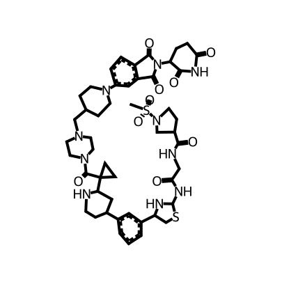 CS(=O)(=O)N1CCC(C(=O)NCC(=O)NC2NC(c3cccc(C4CCNC(C5(C(=O)N6CCN(CC7CCN(c8ccc9c(c8)C(=O)N(C8CCC(=O)NC8=O)C9=O)CC7)CC6)CC5)C4)c3)CS2)C1